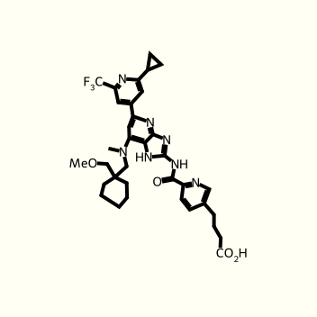 COCC1(CN(C)c2cc(-c3cc(C4CC4)nc(C(F)(F)F)c3)nc3nc(NC(=O)c4ccc(CCCC(=O)O)cn4)[nH]c23)CCCCC1